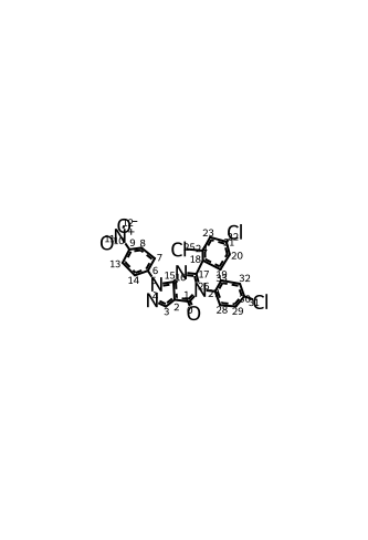 O=c1c2cnn(-c3ccc([N+](=O)[O-])cc3)c2nc(-c2ccc(Cl)cc2Cl)n1-c1ccc(Cl)cc1